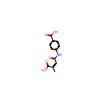 C/C(=C/C(=O)Nc1ccc(C(=O)O)cc1)C(=O)O